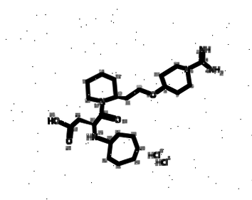 Cl.Cl.N=C(N)N1CCC(OCC[C@@H]2CCCCN2C(=O)[C@H](CC(=O)O)NC2CCCCCC2)CC1